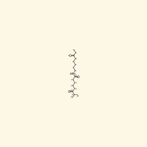 CCC(=O)CCCCCNC(=O)CCCCC(=O)C(C)C